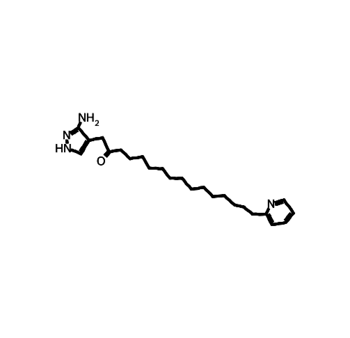 Nc1n[nH]cc1CC(=O)CCCCCCCCCCCCCCc1ccccn1